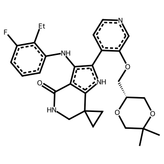 CCc1c(F)cccc1Nc1c(-c2ccncc2OC[C@@H]2COC(C)(C)CO2)[nH]c2c1C(=O)NCC21CC1